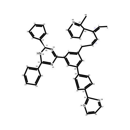 C/C=C(\C=C/Cc1cc(C2=N[C@H](c3ccccc3)NC(c3ccccc3)=N2)cc(-c2ccc(-c3ncccn3)cc2)c1)C1CC=CN=C1C